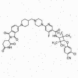 CC1(C)C(NC(=O)c2cnc(N3CCN(CC4CCN(c5ccc6c(c5)C(=O)N(C5CCC(=O)NC5=O)C6=O)CC4)CC3)cc2F)C(C)(C)C1Oc1ccc(C#N)c(Cl)c1